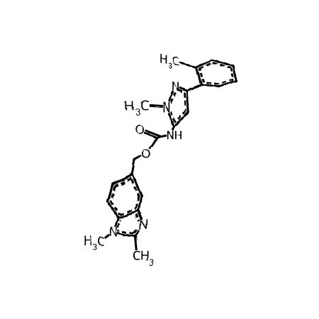 Cc1ccccc1-c1cc(NC(=O)OCc2ccc3c(c2)nc(C)n3C)n(C)n1